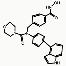 O=C(NO)c1ccc(CN(C(=O)N2CCOCC2)c2ccc(-c3cccc4[nH]ccc34)cc2)cc1